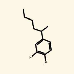 CCCC[C](C)c1ccc(F)c(F)c1